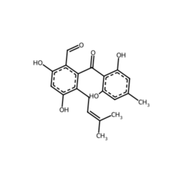 CC(C)=CCc1c(O)cc(O)c(C=O)c1C(=O)c1c(O)cc(C)cc1O